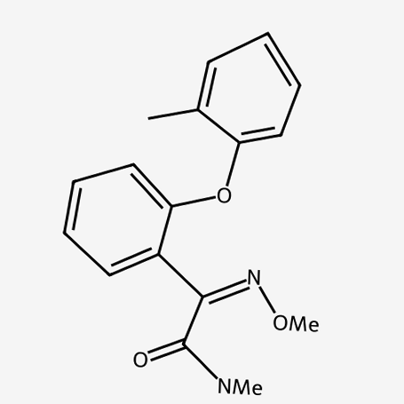 CNC(=O)C(=NOC)c1ccccc1Oc1ccccc1C